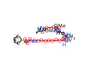 COc1cc2c(cc1OCCCCCOc1cc3c(cc1OC)C(=O)N1C=C(C4CC4)C[C@@H]1C=N3)N=C[C@H]1CC(c3ccc(NC(=O)[C@@H](C)NC(=O)[C@H](NC(=O)CCOCCOCCOCCOCCOCCOCCOCCOCCNC(=O)CCN4C(=O)CC(SCC5CCCCCCCCCCCCCC5)C4=O)C(C)C)cc3)=CN1C2=O